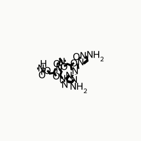 CN1CC(COP(=O)(N(C)C)N2CC(CO[PH](=O)N(C)C)OC(n3cnc4c(N)ncnc43)C2)OC(n2ccc(N)nc2=O)C1